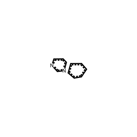 c1ccccc1.c1cncnc1